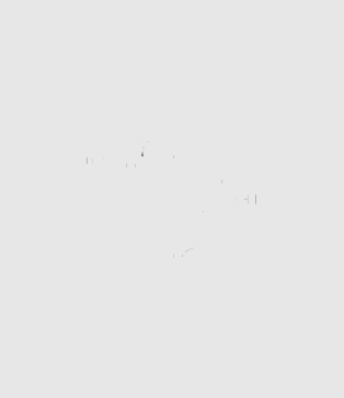 CCCCCCCCCCOC(=O)CCCCCCC1C(=O)CCC1SCC(C)(O)CCCCC(F)(F)F